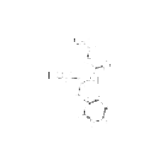 O=C(NC(Cc1ccccc1)C(=O)O)OCCl